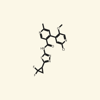 COc1cnc(Cl)cc1-c1cc(C)ncc1C(=O)Nc1nnc(C2CC2(F)F)s1